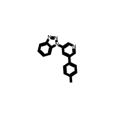 Cc1ccc(-c2cncc(-n3nnc4ccccc43)c2)cc1